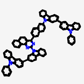 c1ccc(-n2c3ccccc3c3cc(-c4ccc5c6ccccc6n(-c6ccc7cc(-c8nc(-n9c%10ccccc%10c%10ccc(-c%11ccc%12c(c%11)c%11ccccc%11n%12-c%11ccccc%11)cc%109)nc9c8ccc8ccccc89)ccc7c6)c5c4)ccc32)cc1